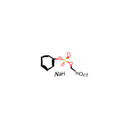 CCCCCCCCCOS(=O)(=O)Oc1ccccc1.[NaH]